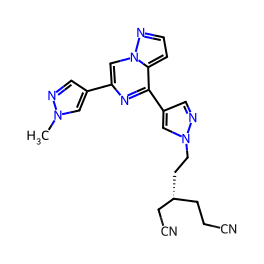 Cn1cc(-c2cn3nccc3c(-c3cnn(CC[C@@H](CC#N)CCC#N)c3)n2)cn1